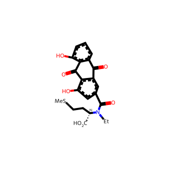 CCN(C(=O)c1cc(O)c2c(c1)C(=O)c1cccc(O)c1C2=O)[C@@H](CCSC)C(=O)O